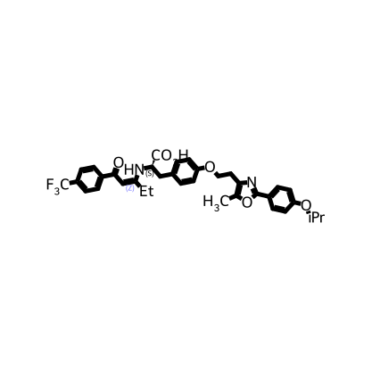 CC/C(=C/C(=O)c1ccc(C(F)(F)F)cc1)N[C@@H](Cc1ccc(OCCc2nc(-c3ccc(OC(C)C)cc3)oc2C)cc1)C(=O)O